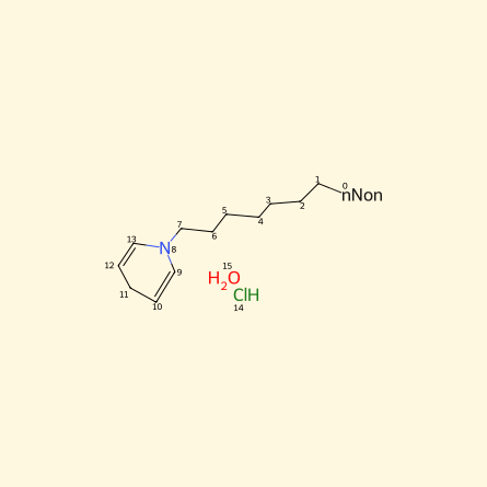 CCCCCCCCCCCCCCCCN1C=CCC=C1.Cl.O